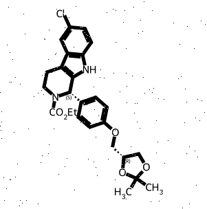 CCOC(=O)N1CCc2c([nH]c3ccc(Cl)cc23)[C@@H]1c1ccc(OC[C@@H]2COC(C)(C)O2)cc1